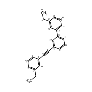 CCc1cncc(C#Cc2cccc(-c3cncc(CC)c3)c2)c1